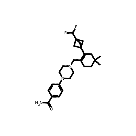 CC1(C)CCC(CN2CCN(c3ccc(C(N)=O)cc3)CC2)=C(C23CC(C(F)F)(C2)C3)C1